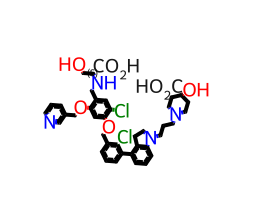 O=C(O)[C@H](CO)NCc1cc(Cl)c(OCc2cccc(-c3cccc4c3CCN4CCCN3CCC(O)(C(=O)O)CC3)c2Cl)cc1OCc1cccnc1